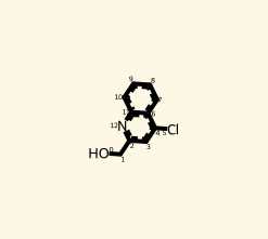 OCc1cc(Cl)c2ccccc2n1